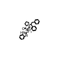 NC(=O)[C@@H]1CCC[N+]1(C(=O)CSc1nc2ccccc2[nH]1)C(Cc1ccccc1)c1ccccc1